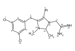 CC(C)C1=C(Sc2cc(Cl)cc(Cl)c2)N(C)C(C)N1CC(=N)N